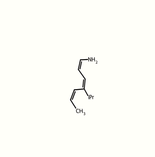 C\C=C/C(=C\C=C/N)C(C)C